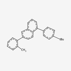 Cc1ccccc1-c1ccc2c(-c3ccc(C(C)(C)C)cc3)cccc2c1